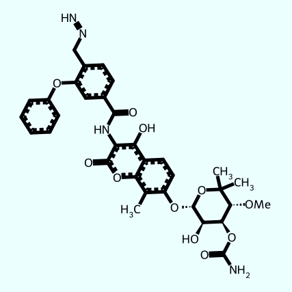 CO[C@@H]1[C@@H](OC(N)=O)[C@@H](O)[C@H](Oc2ccc3c(O)c(NC(=O)c4ccc(CN=N)c(Oc5ccccc5)c4)c(=O)oc3c2C)OC1(C)C